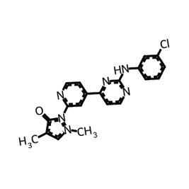 Cc1cn(C)n(-c2cc(-c3ccnc(Nc4cccc(Cl)c4)n3)ccn2)c1=O